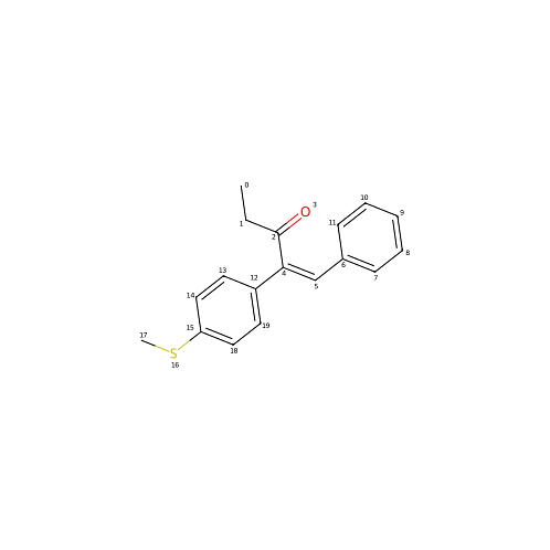 CCC(=O)C(=Cc1ccccc1)c1ccc(SC)cc1